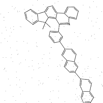 CC1(C)c2ccccc2-c2ccc3c(c(-c4cccc(-c5ccc6cc(-c7ccc8ccccc8c7)ccc6c5)c4)nc4ccccc43)c21